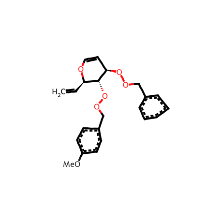 C=C[C@H]1OC=C[C@@H](OOCc2ccccc2)[C@@H]1OOCc1ccc(OC)cc1